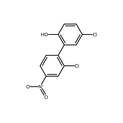 O=[N+]([O-])c1ccc(-c2cc(Cl)ccc2O)c(Cl)c1